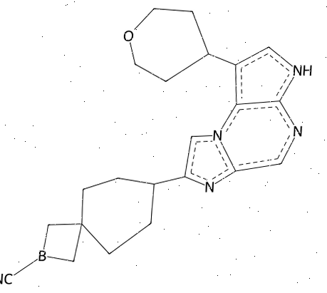 N#CB1CC2(CCC(c3cn4c(cnc5[nH]cc(C6CCOCC6)c54)n3)CC2)C1